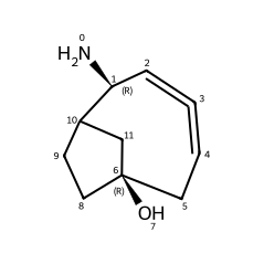 N[C@H]1C=C=CC[C@]2(O)CCC1C2